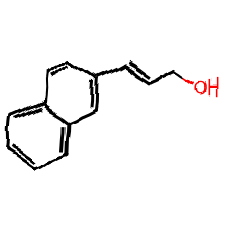 OCC=Cc1ccc2ccccc2c1